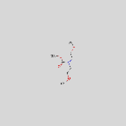 CCCOCCN(CCOCCC)C(=O)OC(C)(C)C